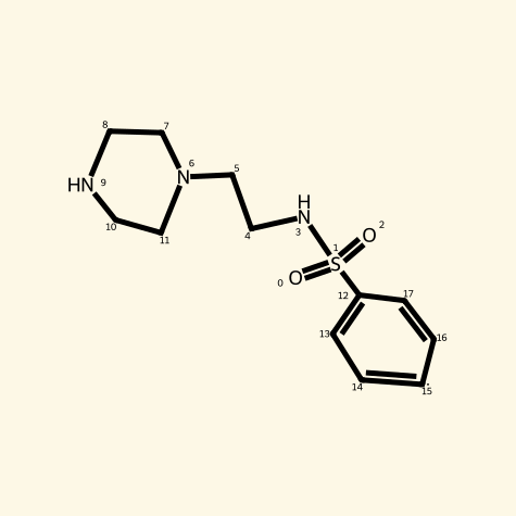 O=S(=O)(NCCN1CCNCC1)c1cc[c]cc1